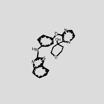 OC1(c2nccnc2Oc2ccc(Nc3nc4ccccc4s3)cc2)CCOCC1